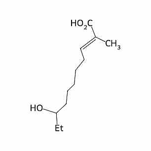 CCC(O)CCCCCC=C(C)C(=O)O